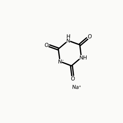 O=c1[n-]c(=O)[nH]c(=O)[nH]1.[Na+]